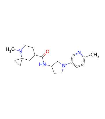 Cc1ccc(N2CCC(NC(=O)C3CCN(C)C4(CC4)C3)C2)cn1